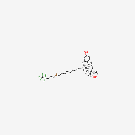 C[C@]12CC[C@@H]3c4ccc(O)cc4C[C@@H](CCCCCCCCCSCCCC(F)(F)C(F)(F)F)[C@H]3[C@@H]1CC[C@@H]2O